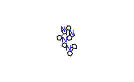 c1ccc(-n2ccc3ccc4c(c32)-c2ccncc2-c2ccccc2N4c2cccc(-n3c4ccccc4c4ccccc43)c2)cc1